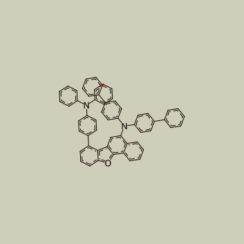 c1ccc(-c2ccc(N(c3ccc(-c4ccccc4)cc3)c3cc4c(oc5cccc(-c6ccc(N(c7ccccc7)c7ccccc7)cc6)c54)c4ccccc34)cc2)cc1